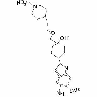 COc1cc2c(cc1N)=CC(C1CCC(O)(COCCC3CCN(C(=O)O)CC3)CC1)N=2